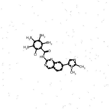 Bc1c(B)c(B)c(C(=O)Nc2ncc3ccc(-c4cnc(C)n4C)cc3n2)c(Cl)c1B